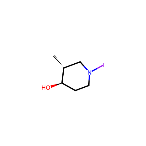 C[C@@H]1CN(I)CC[C@H]1O